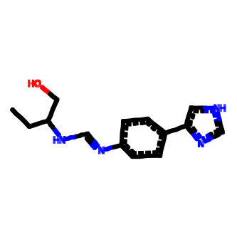 CCC(CO)NC=Nc1ccc(-c2c[nH]cn2)cc1